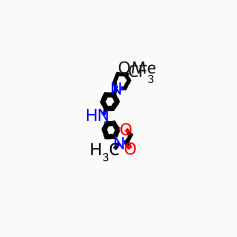 COC1(C(F)(F)F)CCN(c2ccc(Nc3ccc4c(c3)OCC(=O)N4C)cc2)CC1